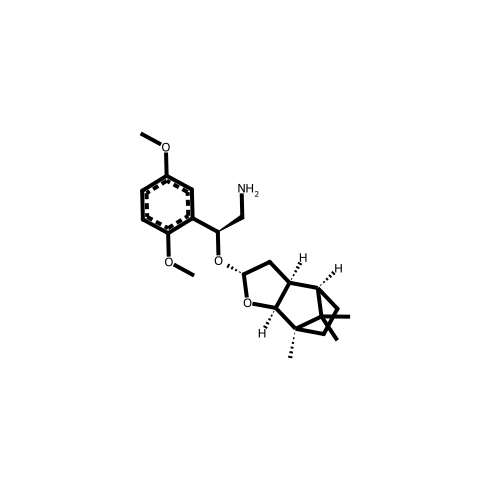 COc1ccc(OC)c([C@@H](CN)O[C@@H]2C[C@H]3[C@H]4CC[C@@](C)([C@H]3O2)C4(C)C)c1